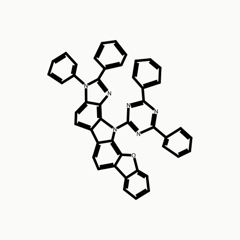 c1ccc(-c2nc(-c3ccccc3)nc(-n3c4c(ccc5c4nc(-c4ccccc4)n5-c4ccccc4)c4ccc5c6ccccc6oc5c43)n2)cc1